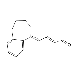 O=C/C=C/C=C1\CCCCc2ccccc21